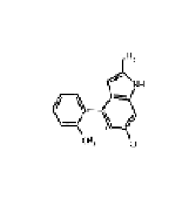 Cc1cc2c(-c3ccccc3C)nc(Cl)cc2[nH]1